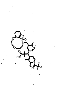 Cc1ncc(C(c2ccn3c(C(F)(F)F)nnc3c2C)C(C)(C)C(=O)O)cc1CN1CCCOCCOc2ncccc2S1(=O)=O